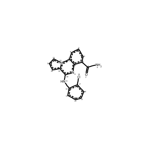 NC(=O)c1cccc2c1nc(Nc1ccccc1Cl)c1cccn12